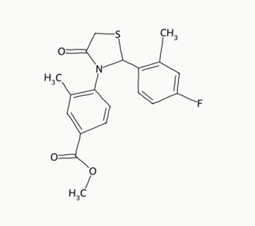 COC(=O)c1ccc(N2C(=O)CSC2c2ccc(F)cc2C)c(C)c1